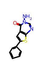 Nn1cnc2sc(-c3ccccc3)cc2c1=O